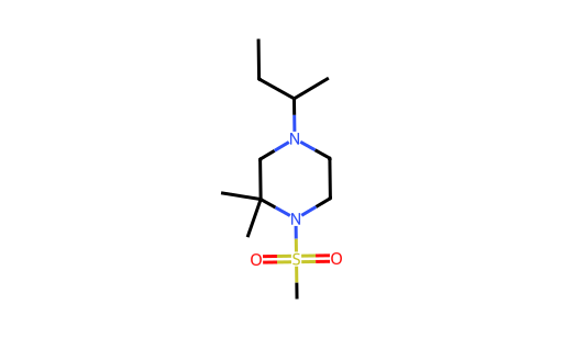 CCC(C)N1CCN(S(C)(=O)=O)C(C)(C)C1